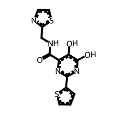 O=C(NCc1nccs1)c1nc(-c2cccs2)nc(O)c1O